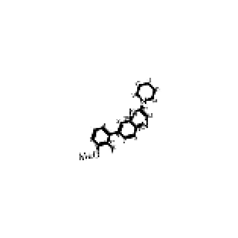 COc1cccc(-c2ccc3ncc(N4CCCCC4)nc3c2)c1F